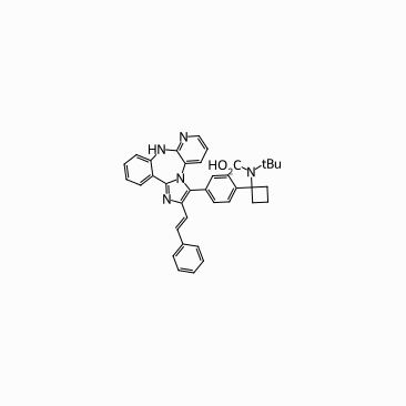 CC(C)(C)N(C(=O)O)C1(c2ccc(-c3c(C=Cc4ccccc4)nc4n3-c3cccnc3Nc3ccccc3-4)cc2)CCC1